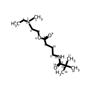 CCN(C)CCOC(=O)CCCNC(=O)C(C)(C)C